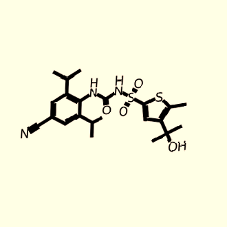 Cc1sc(S(=O)(=O)NC(=O)Nc2c(C(C)C)cc(C#N)cc2C(C)C)cc1C(C)(C)O